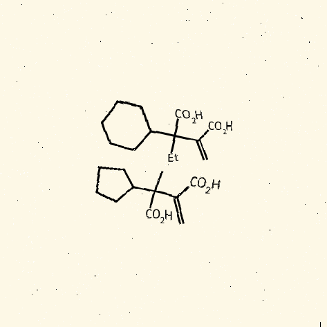 C=C(C(=O)O)C(C)(C(=O)O)C1CCCC1.C=C(C(=O)O)C(CC)(C(=O)O)C1CCCCC1